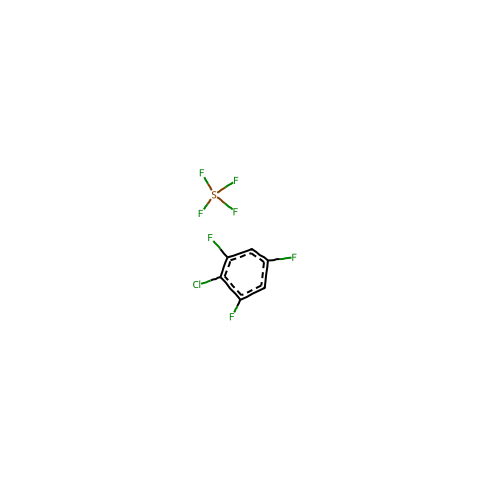 FS(F)(F)F.Fc1cc(F)c(Cl)c(F)c1